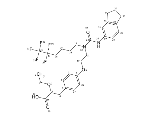 CCOC(Cc1ccc(OCCN(CCCCC(F)(F)C(F)(F)F)C(=O)Nc2ccc3c(c2)CCC3)cc1)C(=O)O